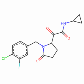 O=C(NC1CC1)C(=O)C1CCC(=O)N1Cc1ccc(Cl)c(F)c1